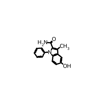 Cc1c(C(N)=O)n(-c2ccccc2)c2ccc(O)cc12